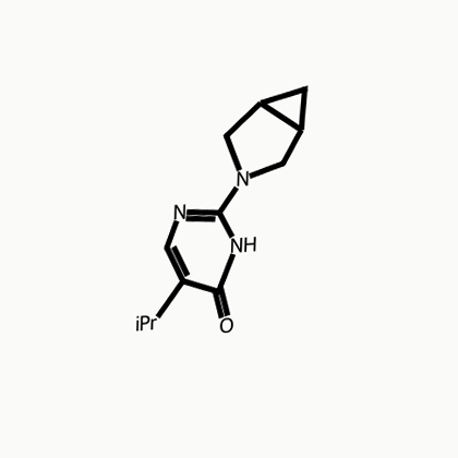 CC(C)c1cnc(N2CC3CC3C2)[nH]c1=O